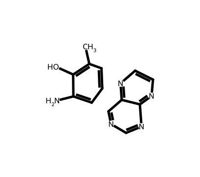 Cc1cccc(N)c1O.c1cnc2ncncc2n1